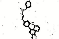 CN(CC=Cc1ccc(-c2c[nH]c(=O)c3cccc(O)c23)cc1)Cc1ccccc1